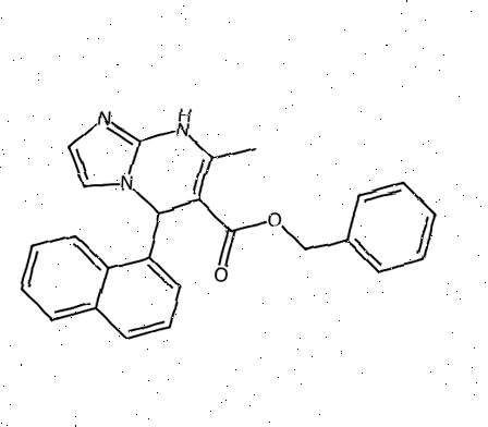 CC1=C(C(=O)OCc2ccccc2)C(c2cccc3ccccc23)n2ccnc2N1